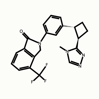 Cn1cnnc1[C@@H]1CC[C@H]1c1cccc(N2Cc3c(cccc3C(F)(F)F)C2=O)c1